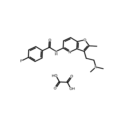 Cc1oc2ccc(NC(=O)c3ccc(F)cc3)nc2c1CCN(C)C.O=C(O)C(=O)O